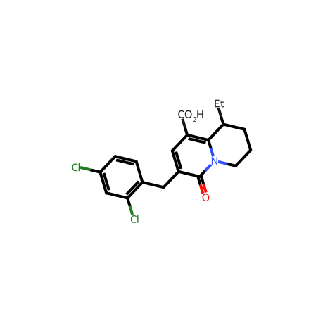 CCC1CCCn2c1c(C(=O)O)cc(Cc1ccc(Cl)cc1Cl)c2=O